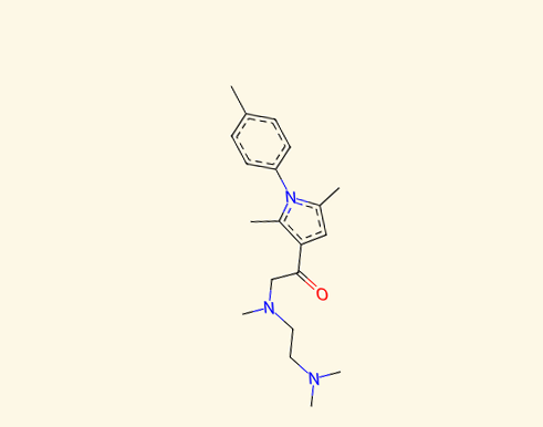 Cc1ccc(-n2c(C)cc(C(=O)CN(C)CCN(C)C)c2C)cc1